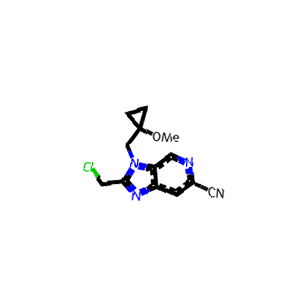 COC1(Cn2c(CCl)nc3cc(C#N)ncc32)CC1